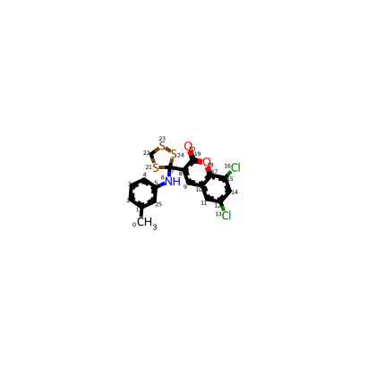 Cc1cccc(NC2(c3cc4cc(Cl)cc(Cl)c4oc3=O)SCSS2)c1